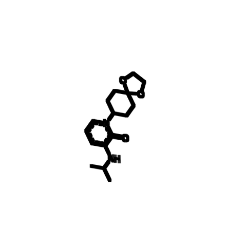 CC(C)Nc1cccn(C2CCC3(CC2)OCCO3)c1=O